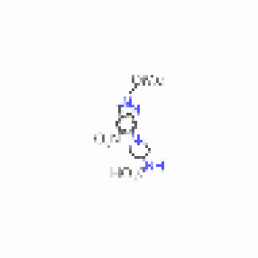 COCCn1cc2cc([N+](=O)[O-])c(N3CCC(NC(=O)O)CC3)cc2n1